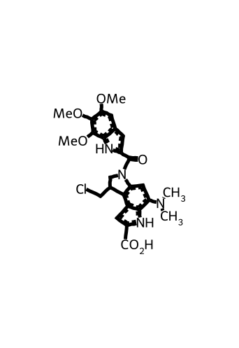 COc1cc2cc(C(=O)N3CC(CCl)c4c3cc(N(C)C)c3[nH]c(C(=O)O)cc43)[nH]c2c(OC)c1OC